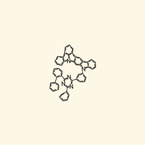 c1ccc(-c2nc(-c3cccc(-n4c5ccccc5c5cc6c7cccc8c9ccccc9n(c6cc54)c87)c3)nc(-c3ccccc3-c3ccccc3)n2)cc1